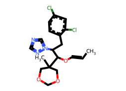 CC=COC(C(Cc1ccc(Cl)cc1Cl)n1cncn1)C1(C)COCOC1